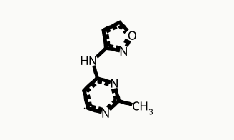 Cc1n[c]cc(Nc2ccon2)n1